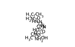 CC(C)C(N)C(=O)Nc1ncnn2c([C@]3(C#N)O[C@H](CO)[C@@H](OC(=O)[C@@H](N)C(C)C)[C@H]3O)ccc12